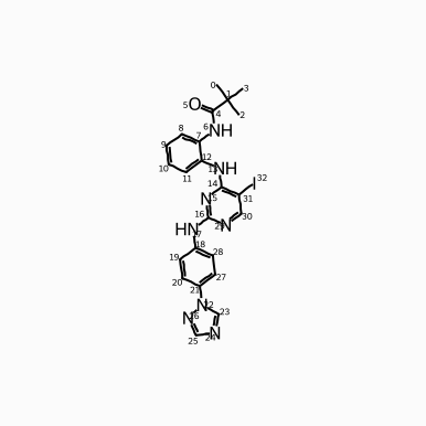 CC(C)(C)C(=O)Nc1ccccc1Nc1nc(Nc2ccc(-n3cncn3)cc2)ncc1I